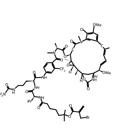 C=C(CBr)C(=O)OC(C)(C)CCCCC(=O)N[C@H](C(=O)N[C@@H](CCCNC(N)=O)C(=O)Nc1ccc(C(=O)N(C)[C@@H](C)C(=O)O[C@H]2CC(=O)N(C)c3cc(cc(OC)c3Cl)C/C(C)=C/C=C/[C@@H](OC)[C@@]3(O)C[C@H](OC(=O)N3)[C@@H](C)[C@@H]3O[C@@]23C)c(C(F)(F)F)c1)C(C)C